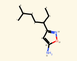 CCC(CCC(C)C)c1cc(N)on1